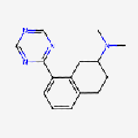 CN(C)C1CCc2cccc(-c3ncncn3)c2C1